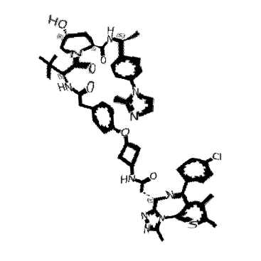 Cc1sc2c(c1C)C(c1ccc(Cl)cc1)=N[C@@H](CC(=O)NC1CC(Oc3ccc(CC(=O)N[C@H](C(=O)N4C[C@H](O)C[C@H]4C(=O)N[C@@H](C)c4ccc(-n5ccnc5C)cc4)C(C)(C)C)cc3)C1)c1nnc(C)n1-2